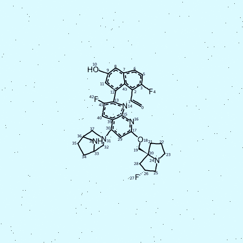 C=Cc1c(F)ccc2cc(O)cc(-c3nc4nc(OC[C@@]56CCCN5C[C@H](F)C6)cc(N5CC6CCC(C5)N6)c4cc3F)c12